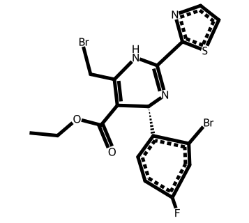 CCOC(=O)C1=C(CBr)NC(c2nccs2)=N[C@@H]1c1ccc(F)cc1Br